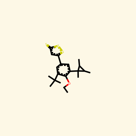 CCOc1c(C(C)(C)C)cc(-c2cc(=S)ss2)cc1C1(C)C(C)C1C